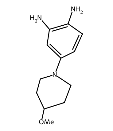 COC1CCN(c2ccc(N)c(N)c2)CC1